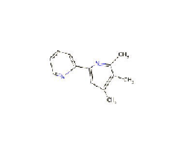 Cc1cc(-c2ccccn2)nc(C)c1C